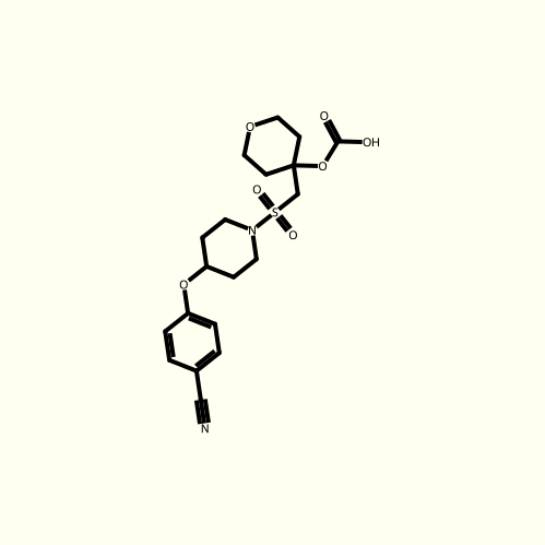 N#Cc1ccc(OC2CCN(S(=O)(=O)CC3(OC(=O)O)CCOCC3)CC2)cc1